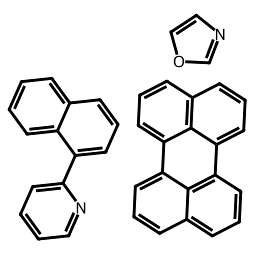 c1cc2cccc3c4cccc5cccc(c(c1)c23)c54.c1ccc(-c2cccc3ccccc23)nc1.c1cocn1